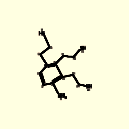 [SiH3]c1ccc(CCS)c(CCS)c1CCS